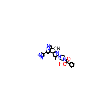 Cc1cc(-c2cc(-c3cnn(C)c3)cn3ncc(C#N)c23)cnc1N1CCN(C(=O)[C@H](O)c2ccccc2)CC1